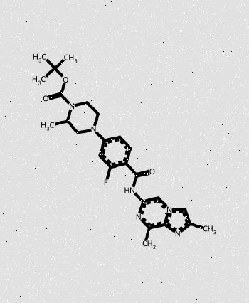 Cc1cn2cc(NC(=O)c3ccc(N4CCN(C(=O)OC(C)(C)C)C(C)C4)cc3F)nc(C)c2n1